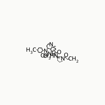 C=CC(=O)N1CCC[C@@H](NC(=O)c2sc3nccc4c3c2NC(=O)N4c2ccc(C)cc2C)C1